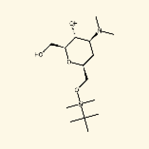 CN(C)[C@H]1C[C@@H](CO[Si](C)(C)C(C)(C)C)O[C@@H](CO)[C@@H]1O